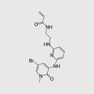 C=CC(=O)NCCNc1cccc(Nc2cc(Br)cn(C)c2=O)n1